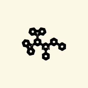 c1ccc(-c2cccc(-c3cc(-c4cc(-n5c6ccccc6c6ccccc65)cc(-n5c6ccccc6c6ccccc65)c4)nc(-c4ccccc4)n3)c2)cc1